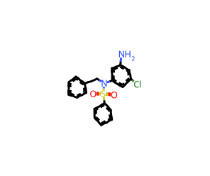 Nc1cc(Cl)cc(N(Cc2ccccc2)S(=O)(=O)c2ccccc2)c1